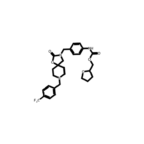 O=C(Nc1ccc(CN2CC3(CCN(Cc4ccc(C(F)(F)F)cc4)CC3)OC2=O)cc1)OCC1CCCO1